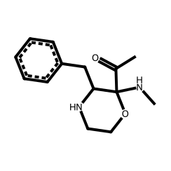 CNC1(C(C)=O)OCCNC1Cc1ccccc1